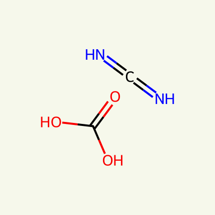 N=C=N.O=C(O)O